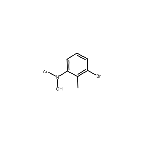 CC(=O)N(O)c1cccc(Br)c1C